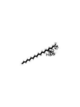 CCCCCCCCCCCCCCCCC(C[N+](C)(C)C)OP(=O)([O-])O